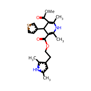 COC(=O)C1=C(C)NC(C)=C(C(=O)OCCc2cc(C)[nH]c2C)C1c1ccsc1